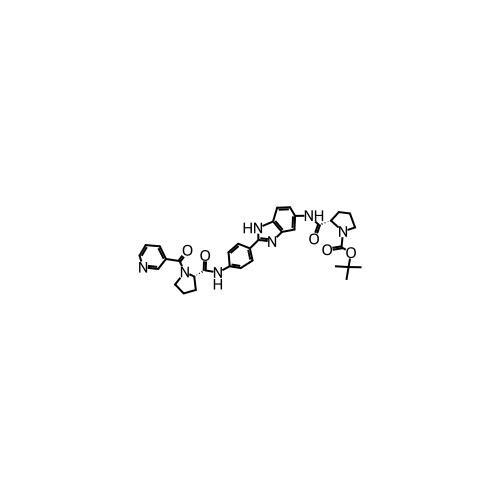 CC(C)(C)OC(=O)N1CCC[C@H]1C(=O)Nc1ccc2[nH]c(-c3ccc(NC(=O)[C@@H]4CCCN4C(=O)c4cccnc4)cc3)nc2c1